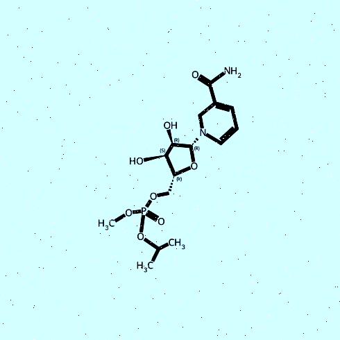 COP(=O)(OC[C@H]1O[C@@H](N2C=CC=C(C(N)=O)C2)[C@H](O)[C@@H]1O)OC(C)C